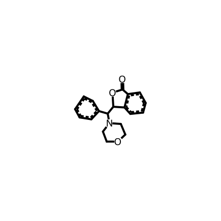 O=C1OC(C(c2ccccc2)N2CCOCC2)c2ccccc21